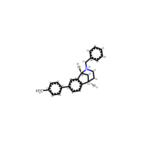 Cc1ccc(-c2ccc3c(c2)[C@H]2C[C@H]3CCN2Cc2ccccc2)cc1